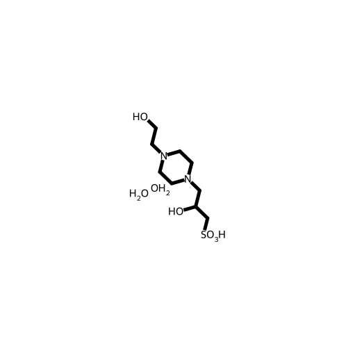 O.O.O=S(=O)(O)CC(O)CN1CCN(CCO)CC1